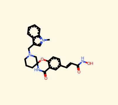 Cn1cc(CN2CCCC3(C2)NC(=O)c2cc(/C=C/C(=O)NO)ccc2O3)c2ccccc21